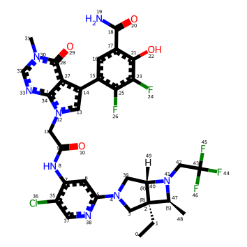 CC[C@]12CN(c3cc(NC(=O)Cn4cc(-c5cc(C(N)=O)c(O)c(F)c5F)c5c(=O)n(C)cnc54)c(Cl)cn3)C[C@@H]1N(CC(F)(F)F)[C@H]2C